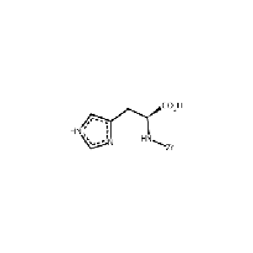 O=C(O)[C@H](Cc1c[nH]cn1)[NH][Zr]